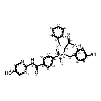 O=C(Nc1ncc(O)cn1)c1ccc(S(=O)(=O)N2Cc3ccc(Cl)cc3NC(=O)[C@H]2Cc2ccccn2)cc1